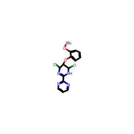 CC(C)(C)Oc1ccccc1OC1C(Cl)N=C(c2ncccn2)NC1Cl